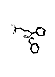 O=C(O)CCCC(c1ccccc1)P(=O)(O)Cc1ccccc1